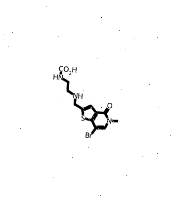 Cn1cc(Br)c2sc(CNCCNC(=O)O)cc2c1=O